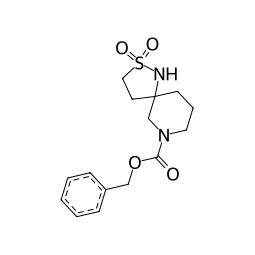 O=C(OCc1ccccc1)N1CCCC2(CCS(=O)(=O)N2)C1